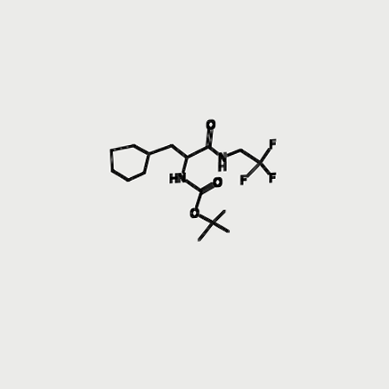 CC(C)(C)OC(=O)NC(CC1CCCCC1)C(=O)NCC(F)(F)F